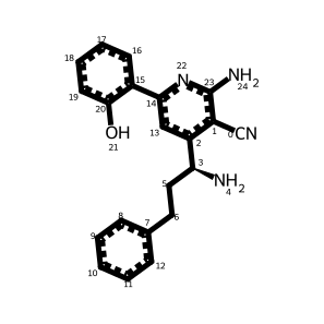 N#Cc1c([C@@H](N)CCc2ccccc2)cc(-c2ccccc2O)nc1N